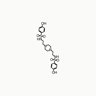 O=S(=O)(NCCN1CCN(CCNS(=O)(=O)c2ccc(O)cc2)CC1)c1ccc(O)cc1